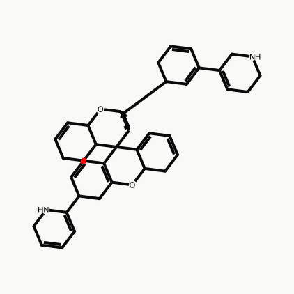 C1=CCNC(C2C=CC3=C(C2)OC2CC=CC=C2C32C3C=CC(C4C=C(C5=CCCNC5)C=CC4)=CC3OC3C=CCCC32)=C1